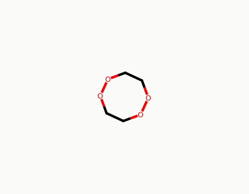 C1COOCCOO1